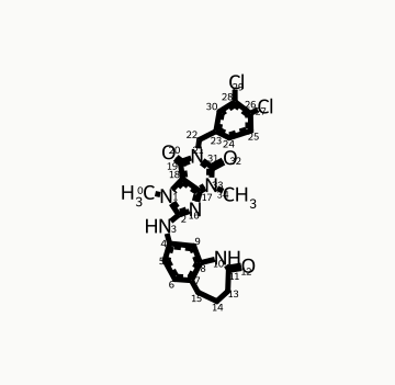 Cn1c(Nc2ccc3c(c2)NC(=O)CCC3)nc2c1c(=O)n(Cc1ccc(Cl)c(Cl)c1)c(=O)n2C